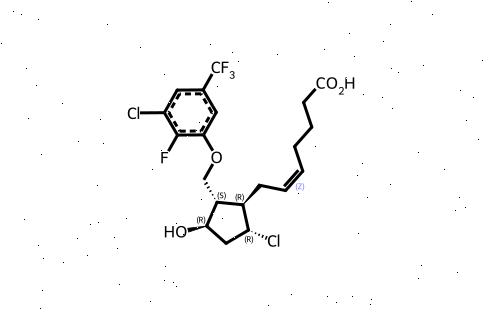 O=C(O)CCC/C=C\C[C@@H]1[C@@H](COc2cc(C(F)(F)F)cc(Cl)c2F)[C@H](O)C[C@H]1Cl